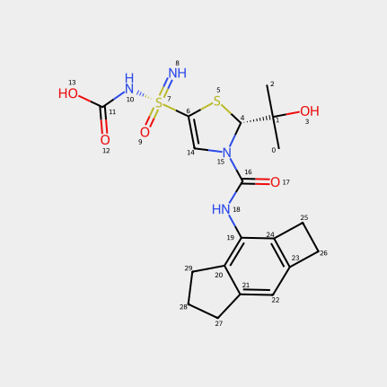 CC(C)(O)[C@H]1SC([S@](=N)(=O)NC(=O)O)=CN1C(=O)Nc1c2c(cc3c1CC3)CCC2